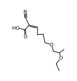 CCOC(C)COCCCC=C(C#N)C(=O)O